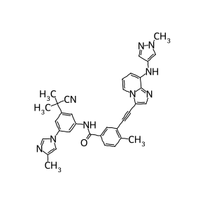 Cc1cn(-c2cc(NC(=O)c3ccc(C)c(C#Cc4cnc5c(Nc6cnn(C)c6)cccn45)c3)cc(C(C)(C)C#N)c2)cn1